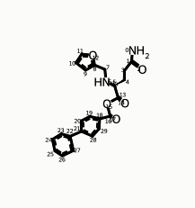 NC(=O)CC[C@H](NCc1ccco1)C(=O)OC(=O)c1ccc(-c2ccccc2)cc1